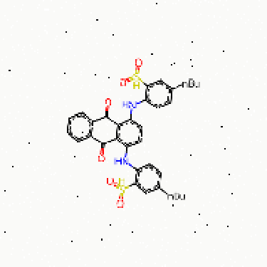 CCCCc1ccc(Nc2ccc(Nc3ccc(CCCC)cc3[SH](=O)=O)c3c2C(=O)c2ccccc2C3=O)c([SH](=O)=O)c1